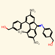 O=[N+]([O-])c1cc2c(c(-c3ccc(CO)cc3)c1)-c1c(cc([N+](=O)[O-])cc1[N+](=O)[O-])C2=Nc1ccc(CO)cc1